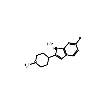 Br.CN1CCC(c2cc3ccc(F)cc3[nH]2)CC1